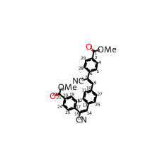 COC(=O)c1ccc(C(C#N)=Cc2ccc(C=C(C#N)c3ccc(C(=O)OC)cc3)cc2)cc1